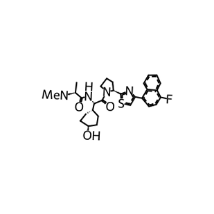 CN[C@@H](C)C(=O)N[C@H](C(=O)N1CCC[C@H]1c1nc(-c2ccc(F)c3ccccc23)cs1)[C@H]1CC[C@H](O)CC1